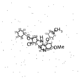 COc1cc(OC2CCN(C)CC2)c2c(Nc3ccc(OCc4ccccc4)c(Cl)c3)ncnc2c1